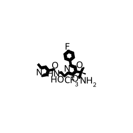 Cc1cc(C(=O)NC[C@](O)(c2cc3c(c(-c4ccc(F)cc4)n2)OC[C@]3(C)C(N)=O)C(F)(F)F)ccn1